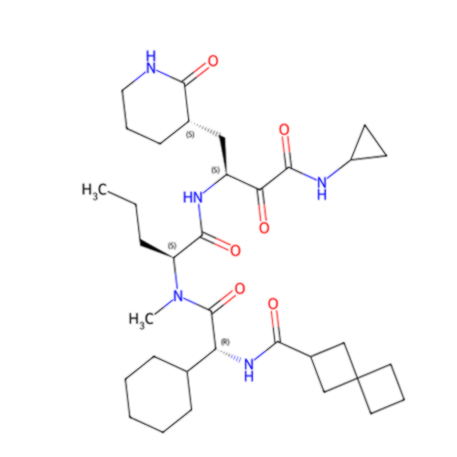 CCC[C@@H](C(=O)N[C@@H](C[C@@H]1CCCNC1=O)C(=O)C(=O)NC1CC1)N(C)C(=O)[C@H](NC(=O)C1CC2(CCC2)C1)C1CCCCC1